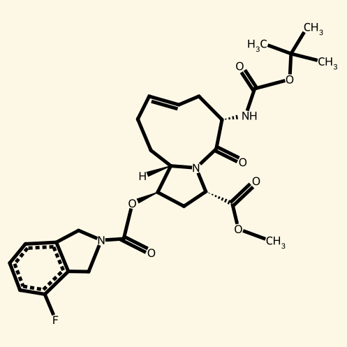 COC(=O)[C@@H]1C[C@@H](OC(=O)N2Cc3cccc(F)c3C2)[C@@H]2CC/C=C/C[C@H](NC(=O)OC(C)(C)C)C(=O)N12